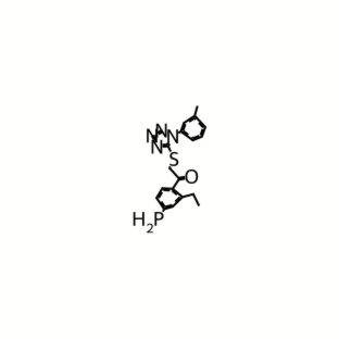 CCc1cc(P)ccc1C(=O)CSc1nnnn1-c1cccc(C)c1